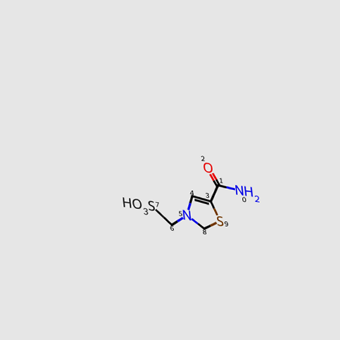 NC(=O)C1=CN(CS(=O)(=O)O)CS1